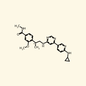 CNC(=O)c1ccc([C@H](C)CNc2cc(-c3ccc(NC4CC4)nc3)ncn2)c(OC)c1